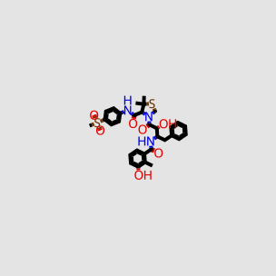 Cc1c(O)cccc1C(=O)NC(Cc1ccccc1)C(O)C(=O)N1CSC(C)(C)C1C(=O)Nc1ccc(S(C)(=O)=O)cc1